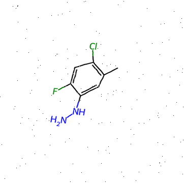 Cc1cc(NN)c(F)cc1Cl